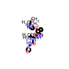 COCC(C)(C)c1nnc2ccc(O[C@@H]3C=C[C@](C=O)(NC(=O)Nc4cc(C(C)(C)C)nc(C(=O)NCCN5CCCOCC5)n4)c4ccccc43)cn12